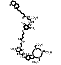 Cc1cc(OCCCC(=O)NCCNC(=O)C(CS(=O)(=O)O)NC(=S)Nc2ccc(CC3CN(CC(=O)O)CCN(CC(=O)O)CCN(CC(=O)O)CCN3CC(=O)O)cc2)cc(C)c1S(=O)(=O)N[C@H](CNC(=O)CCCCc1ccc2c(n1)NCCC2)C(=O)O